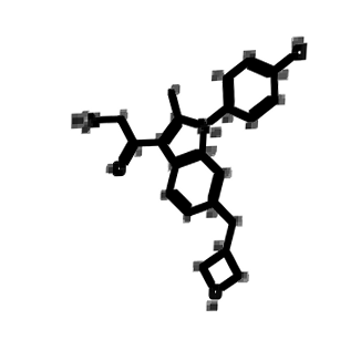 Cc1c(C(=O)CN)c2ccc(CC3COC3)cc2n1-c1ccc(Cl)cc1